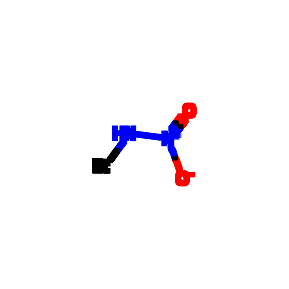 CCN[N+](=O)[O-]